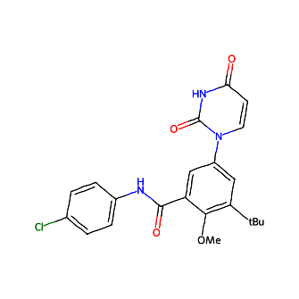 COc1c(C(=O)Nc2ccc(Cl)cc2)cc(-n2ccc(=O)[nH]c2=O)cc1C(C)(C)C